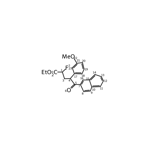 CCOC(=O)C(F)CC(C(=O)c1ccc2ccccc2c1)c1cccc(OC)c1